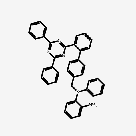 Nc1ccccc1N(Cc1ccc(-c2ccccc2-c2nc(-c3ccccc3)nc(-c3ccccc3)n2)cc1)c1ccccc1